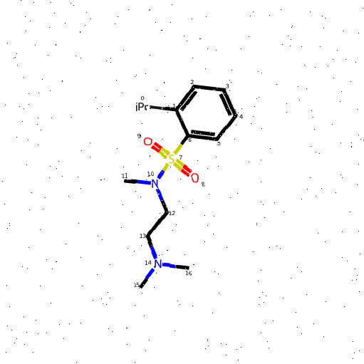 CC(C)c1ccccc1S(=O)(=O)N(C)CCN(C)C